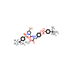 COC(=O)[C@H](Cc1ccc(OS(=O)(=O)c2ccc(C(C)(C)C)cc2)cc1)NC(=O)[C@@H]1C[C@H](S)CN1S(=O)(=O)c1ccc(C(C)(C)C)cc1